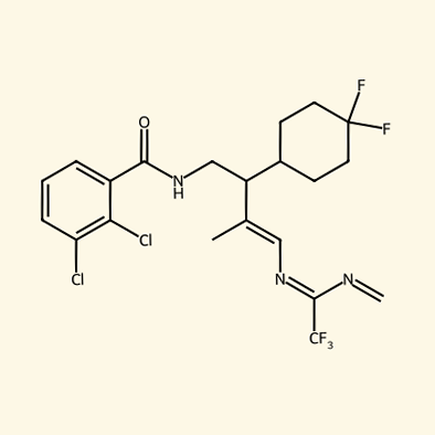 C=N/C(=N\C=C(/C)C(CNC(=O)c1cccc(Cl)c1Cl)C1CCC(F)(F)CC1)C(F)(F)F